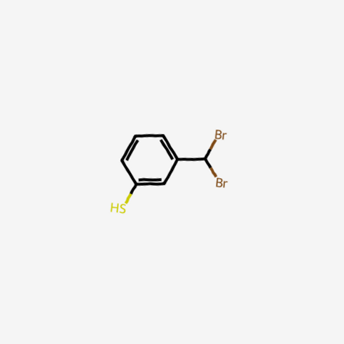 Sc1cccc(C(Br)Br)c1